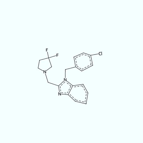 FC1(F)CCN(Cc2nc3ccccc3n2Cc2ccc(Cl)cc2)C1